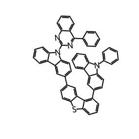 c1ccc(-c2nc(-n3c4ccccc4c4cc(-c5ccc6sc7cccc(-c8ccc9c(c8)c8ccccc8n9-c8ccccc8)c7c6c5)ccc43)nc3ccccc23)cc1